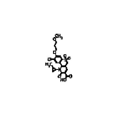 COCCCOc1cc2c(cc1Cl)-c1c(cc(C(=O)O)c(=O)n1C1CC1C)CS2(=O)=O